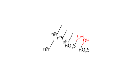 CCCC.CCCC.CCCC.CCCC.O=S(=O)(O)O.O=S(=O)(O)O